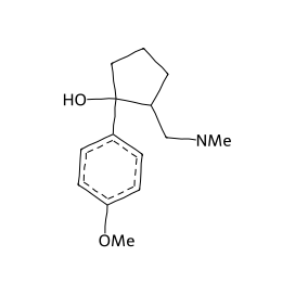 CNCC1CCCC1(O)c1ccc(OC)cc1